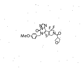 COc1ccc(Cn2c(=O)n3ncnc3c3c4c(sc32)CN(C(=O)C2CCOC2)CC4(F)F)cc1